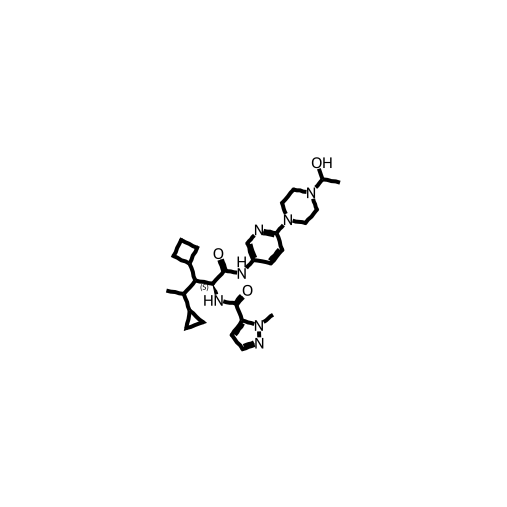 CC(C1CC1)C(C1CCC1)[C@H](NC(=O)c1ccnn1C)C(=O)Nc1ccc(N2CCN(C(C)O)CC2)nc1